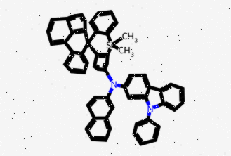 C[Si]1(C)c2ccccc2C2(c3ccccc3-c3cccc4cccc2c34)c2ccc(N(c3ccc4ccccc4c3)c3ccc4c5ccccc5n(-c5ccccc5)c4c3)cc21